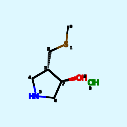 CSC[C@H]1CNC[C@@H]1O.Cl